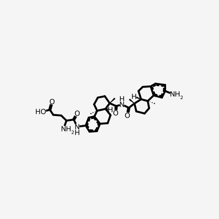 C[C@]1(C(=O)NC(=O)[C@@]2(C)CCC[C@]3(C)c4cc(NC(=O)C(N)CCC(=O)O)ccc4CC[C@@H]23)CCC[C@]2(C)c3cc(N)ccc3CC[C@@H]12